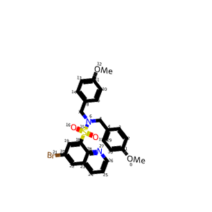 COc1ccc(CN(Cc2ccc(OC)cc2)S(=O)(=O)c2cc(Br)cc3cccnc23)cc1